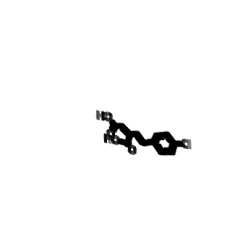 O=C(O)C=C(C=Cc1ccc(Cl)cc1)C(=O)O